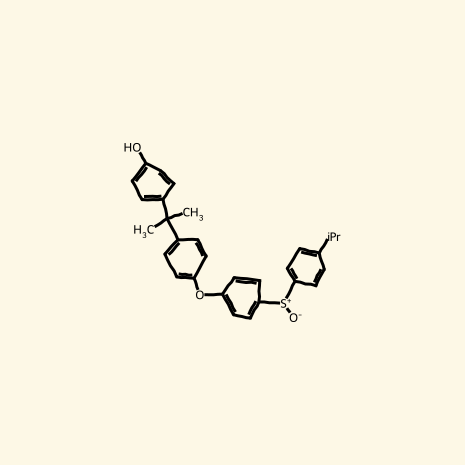 CC(C)c1ccc([S+]([O-])c2ccc(Oc3ccc(C(C)(C)c4ccc(O)cc4)cc3)cc2)cc1